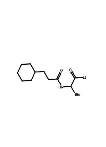 CCC(=O)C(NC(=O)CCC1CCCCC1)C(C)(C)C